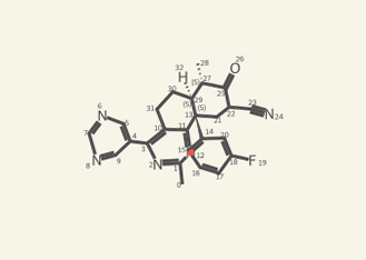 Cc1nc(-c2cncnc2)c2c(n1)[C@@]1(c3cccc(F)c3)CC(C#N)C(=O)[C@@H](C)[C@@H]1CC2